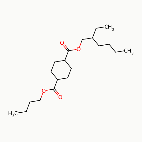 CCCCOC(=O)C1CCC(C(=O)OCC(CC)CCCC)CC1